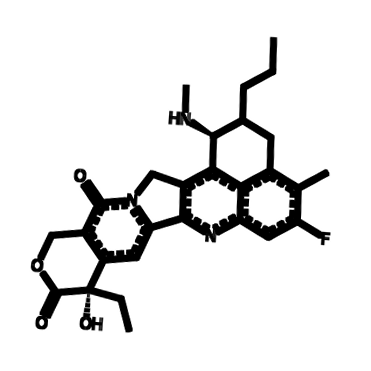 CCCC1Cc2c(C)c(F)cc3nc4c(c(c23)[C@H]1NC)Cn1c-4cc2c(c1=O)COC(=O)[C@]2(O)CC